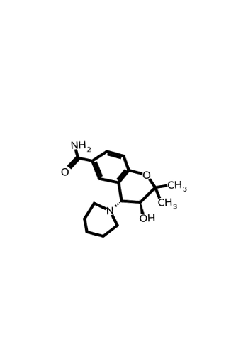 CC1(C)Oc2ccc(C(N)=O)cc2[C@@H](N2CCCCC2)[C@@H]1O